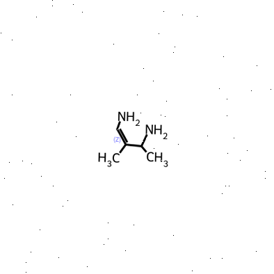 C/C(=C/N)C(C)N